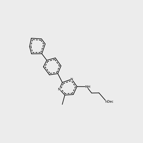 CCCCCCCCCCCCNc1cc(C)nc(-c2ccc(-c3ccccc3)cc2)n1